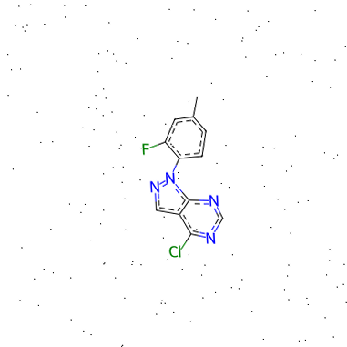 Cc1ccc(-n2ncc3c(Cl)ncnc32)c(F)c1